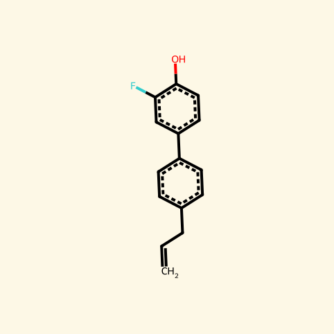 C=CCc1ccc(-c2ccc(O)c(F)c2)cc1